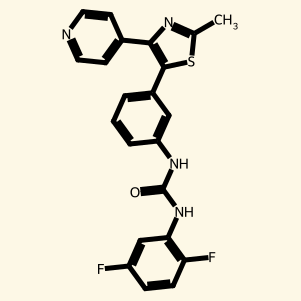 Cc1nc(-c2ccncc2)c(-c2cccc(NC(=O)Nc3cc(F)ccc3F)c2)s1